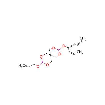 C=CCOP1OCC2(CO1)COP(OC(/C=C\C)=C/C=C\C)OC2